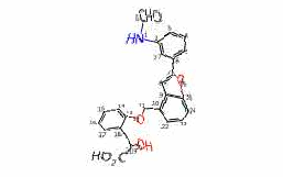 O=CNc1cccc(-c2cc3c(COc4ccccc4C(O)C(=O)O)cccc3o2)c1